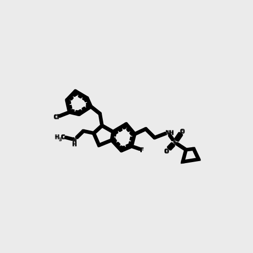 CNCC1Cc2cc(F)c(CCNS(=O)(=O)C3CCC3)cc2C1Cc1cccc(Cl)c1